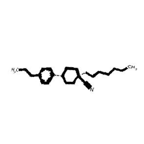 CCCCCCC[C@]1(C#N)CC[C@H](c2ccc(CCC)cc2)CC1